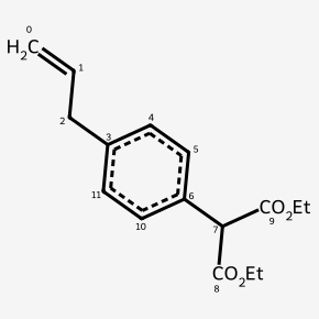 C=CCc1ccc(C(C(=O)OCC)C(=O)OCC)cc1